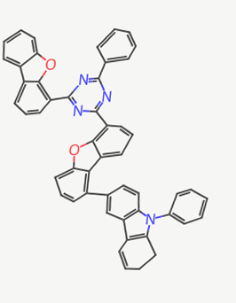 C1=Cc2c(n(-c3ccccc3)c3ccc(-c4cccc5oc6c(-c7nc(-c8ccccc8)nc(-c8cccc9c8oc8ccccc89)n7)cccc6c45)cc23)CC1